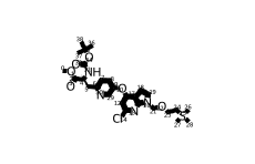 COC(=O)[C@H](Cc1ccc(Oc2cc(Cl)nc3c2ccn3COCCS(C)(C)C)cn1)NC(=O)OC(C)(C)C